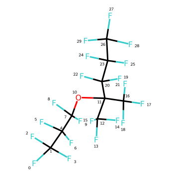 FC(F)(F)C(F)(F)C(F)(F)OC(C(F)(F)F)(C(F)(F)F)C(F)(F)C(F)(F)C(F)(F)F